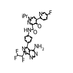 CC(C)n1cc(-c2ccc(F)cn2)c(=O)c(C(=O)Nc2ccc(-c3nn(C(F)C(F)F)c4ncnc(N)c34)cc2)n1